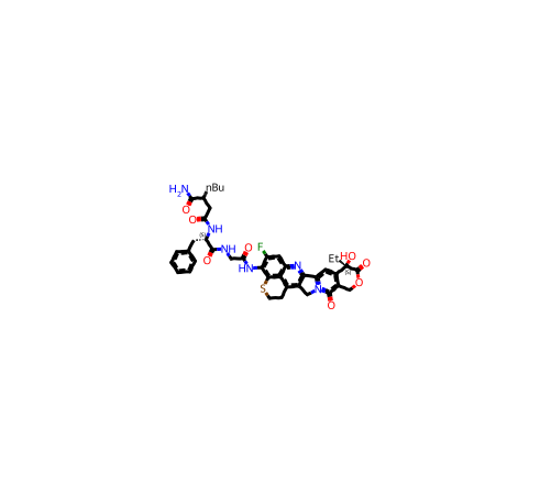 CCCCC(CC(=O)N[C@@H](Cc1ccccc1)C(=O)NCC(=O)Nc1c(F)cc2nc3c(c4c2c1SCC4)Cn1c-3cc2c(c1=O)COC(=O)[C@]2(O)CC)C(N)=O